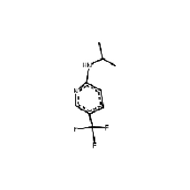 CC(C)Nc1ccc(C(F)(F)F)cn1